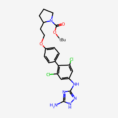 CC(C)(C)OC(=O)N1CCCC1CCOc1ccc(-c2c(Cl)cc(Nc3n[nH]c(N)n3)cc2Cl)cc1